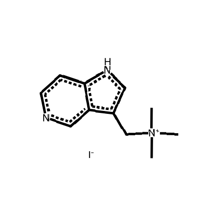 C[N+](C)(C)Cc1c[nH]c2ccncc12.[I-]